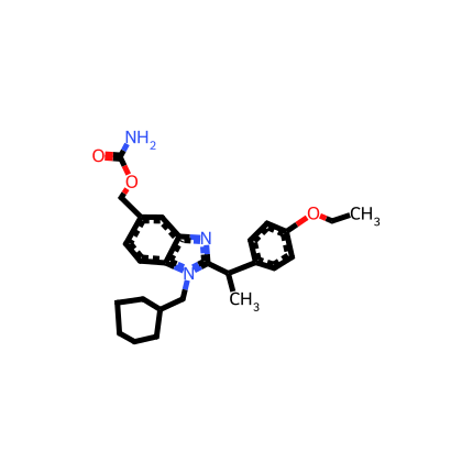 CCOc1ccc(C(C)c2nc3cc(COC(N)=O)ccc3n2CC2CCCCC2)cc1